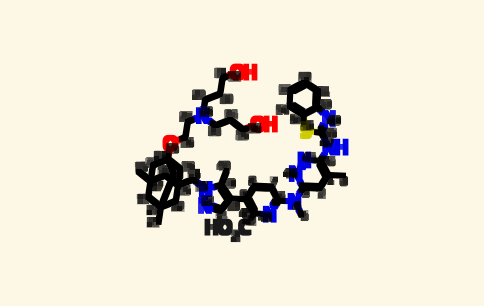 Cc1cc(N(C)c2ccc(-c3cnn(CC45CC6(C)CC(C)(C4)CC(OCCN(CCCO)CCCO)(C6)C5)c3C)c(C(=O)O)n2)nnc1Nc1nc2ccccc2s1